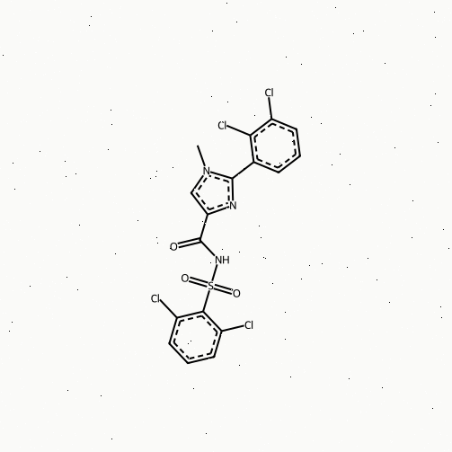 Cn1cc(C(=O)NS(=O)(=O)c2c(Cl)cccc2Cl)nc1-c1cccc(Cl)c1Cl